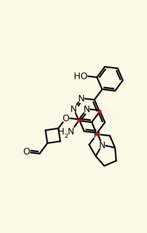 Nc1nnc(-c2ccccc2O)cc1N1CC2CCC(C1)N2c1ccnc(OC2CC(C=O)C2)c1